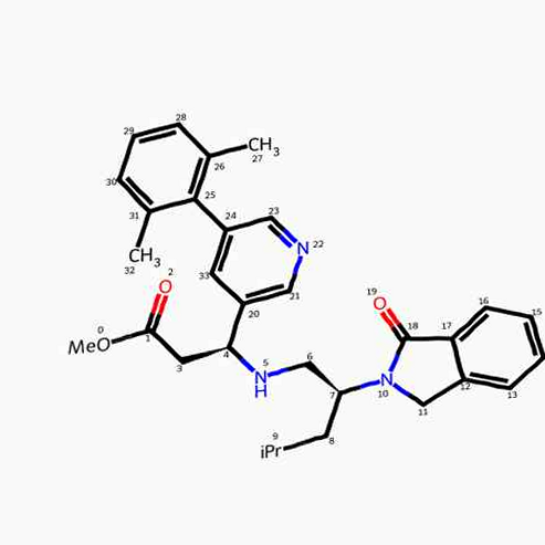 COC(=O)C[C@H](NC[C@H](CC(C)C)N1Cc2ccccc2C1=O)c1cncc(-c2c(C)cccc2C)c1